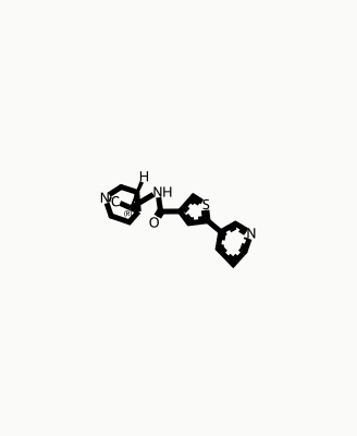 O=C(N[C@H]1CN2CCC1CC2)c1csc(-c2cccnc2)c1